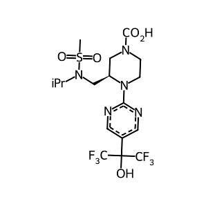 CC(C)N(C[C@H]1CN(C(=O)O)CCN1c1ncc(C(O)(C(F)(F)F)C(F)(F)F)cn1)S(C)(=O)=O